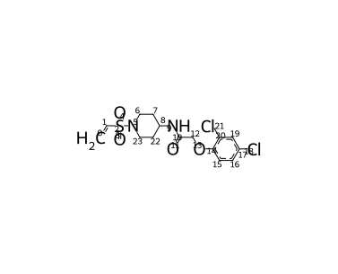 C=CS(=O)(=O)N1CCC(NC(=O)COc2ccc(Cl)cc2Cl)CC1